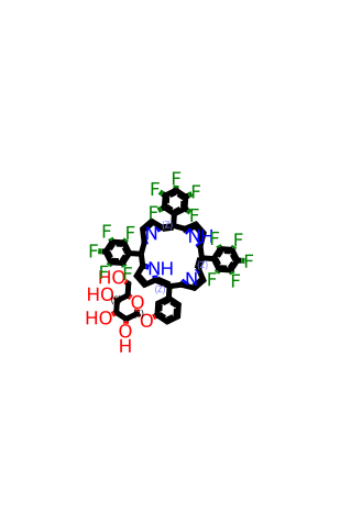 OCC1O[C@@H](Oc2cccc(/C3=C4\C=CC(N4)C(c4c(F)c(F)c(F)c(F)c4F)C4=N/C(=C(/c5c(F)c(F)c(F)c(F)c5F)c5ccc([nH]5)/C(c5c(F)c(F)c(F)c(F)c5F)=C5/C=CC3=N5)C=C4)c2)C(O)C(O)[C@@H]1O